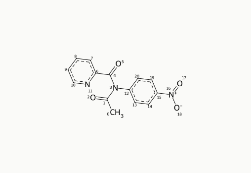 CC(=O)N(C(=O)c1ccccn1)c1ccc([N+](=O)[O-])cc1